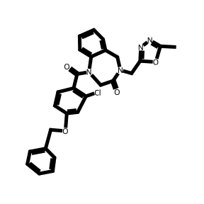 Cc1nnc(CN2Cc3ccccc3N(C(=O)c3ccc(OCc4ccccc4)cc3Cl)CC2=O)o1